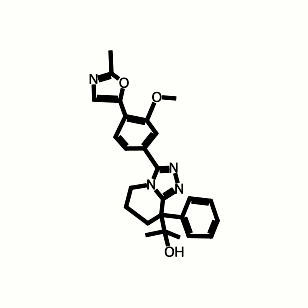 COc1cc(-c2nnc3n2CCCC3(c2ccccc2)C(C)(C)O)ccc1-c1cnc(C)o1